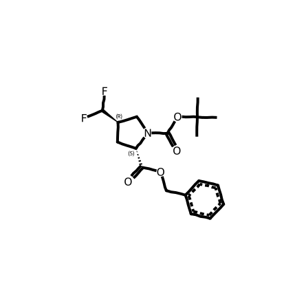 CC(C)(C)OC(=O)N1C[C@H](C(F)F)C[C@H]1C(=O)OCc1ccccc1